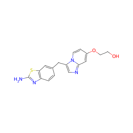 Nc1nc2ccc(Cc3cnc4cc(OCCO)ccn34)cc2s1